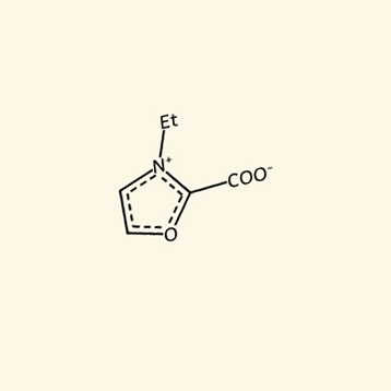 CC[n+]1ccoc1C(=O)[O-]